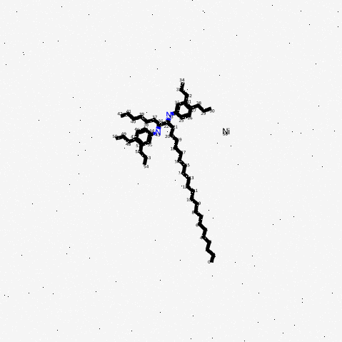 CCCCCCCCCCCCCCCCCCCCCCC(=N\c1ccc(CCC)c(CCC)c1)/C(CCCCCC)=N/c1ccc(CCC)c(CCC)c1.[Ni]